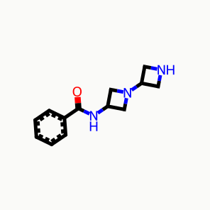 O=C(NC1CN(C2CNC2)C1)c1ccccc1